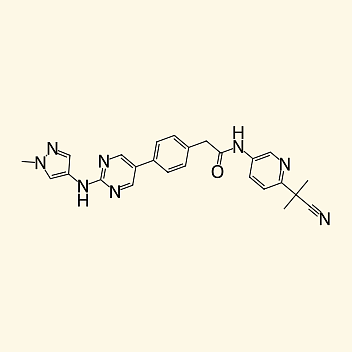 Cn1cc(Nc2ncc(-c3ccc(CC(=O)Nc4ccc(C(C)(C)C#N)nc4)cc3)cn2)cn1